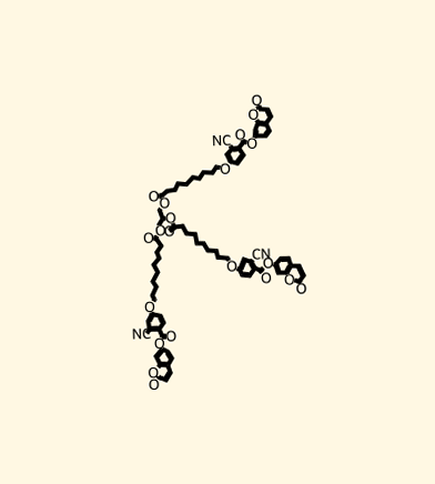 N#Cc1cc(OCCCCCCCCCC(=O)OCC(COC(=O)CCCCCCCCCOc2ccc(C(=O)Oc3ccc4ccc(=O)oc4c3)c(C#N)c2)OC(=O)CCCCCCCCCOc2ccc(C(=O)Oc3ccc4ccc(=O)oc4c3)c(C#N)c2)ccc1C(=O)Oc1ccc2ccc(=O)oc2c1